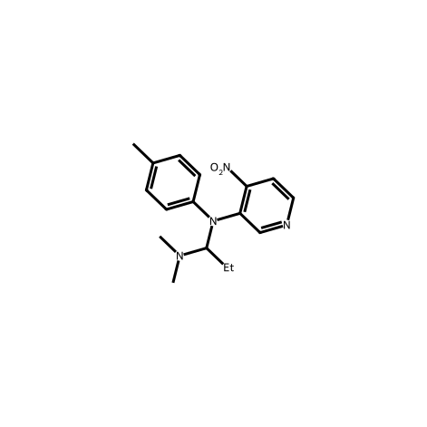 CCC(N(C)C)N(c1ccc(C)cc1)c1cnccc1[N+](=O)[O-]